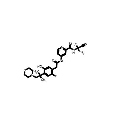 CC(C)(C#N)NC(=O)c1cc(NC(=O)Cc2cc(O)c(C(C)(C)CN3CCOCC3)cc2F)ccn1